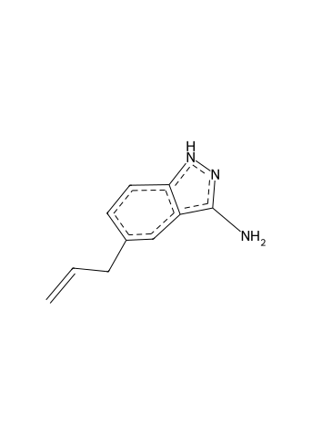 C=CCc1ccc2[nH]nc(N)c2c1